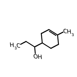 CCC(O)C1CC=C(C)CC1